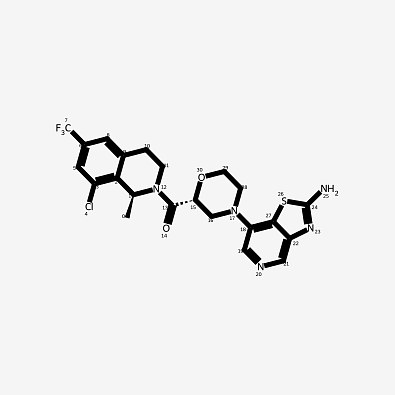 C[C@H]1c2c(Cl)cc(C(F)(F)F)cc2CCN1C(=O)[C@H]1CN(c2cncc3nc(N)sc23)CCO1